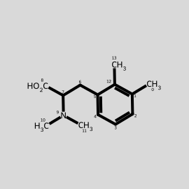 Cc1cccc(CC(C(=O)O)N(C)C)c1C